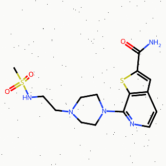 CS(=O)(=O)NCCN1CCN(c2nccc3cc(C(N)=O)sc23)CC1